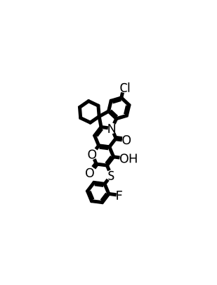 O=c1oc2cc3n(c(=O)c2c(O)c1Sc1ccccc1F)-c1ccc(Cl)cc1C31CCCCC1